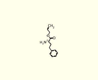 C=CCOC(=O)[C@@H](N)CCc1ccccc1